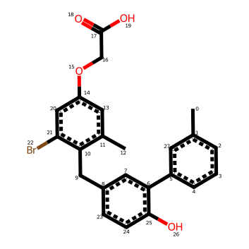 Cc1cccc(-c2cc(Cc3c(C)cc(OCC(=O)O)cc3Br)ccc2O)c1